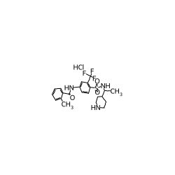 Cc1ccccc1C(=O)Nc1ccc(S(=O)(=O)NC(C)C2CCNCC2)c(C(F)(F)F)c1.Cl